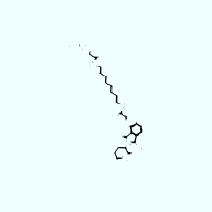 COCC(=O)NCCCCCCCCNC(=O)COc1cccc2c1C(=O)N(C1CCC(=O)NC1=O)C2=N